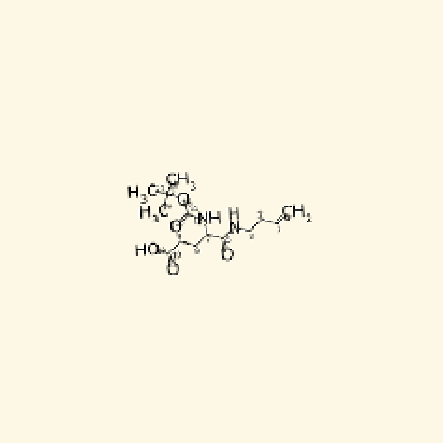 C=CCCNC(=O)C(CCC(=O)O)NC(=O)OC(C)(C)C